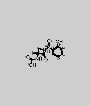 O=C(O)NC1(I)CN([PH](=O)c2ccccc2O)C1=O